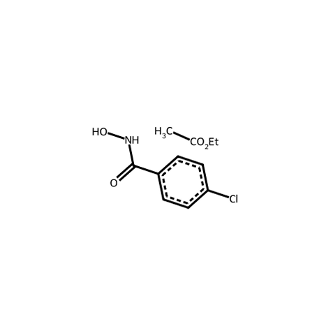 CCOC(C)=O.O=C(NO)c1ccc(Cl)cc1